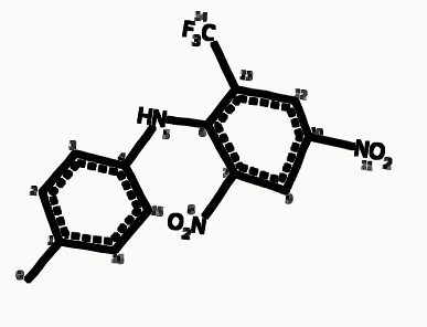 Cc1ccc(Nc2c([N+](=O)[O-])cc([N+](=O)[O-])cc2C(F)(F)F)cc1